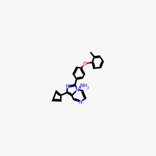 Cc1ccccc1Oc1ccc(C2=NC(C3=CC=C3)=C3C=NC=C[N+]23N)cc1